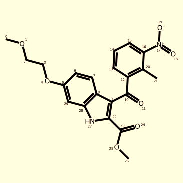 COCCOc1ccc2c(C(=O)c3cccc([N+](=O)[O-])c3C)c(C(=O)OC)[nH]c2c1